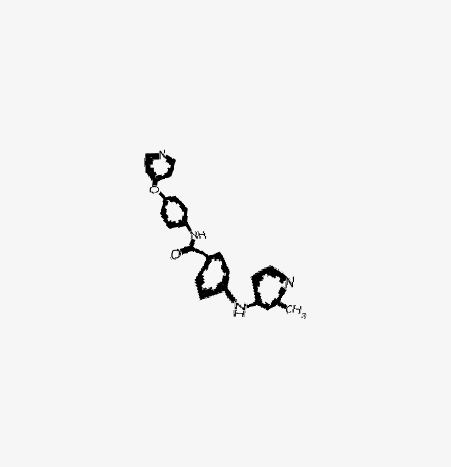 Cc1cc(Nc2ccc(C(=O)Nc3ccc(Oc4ccncc4)cc3)cc2)ccn1